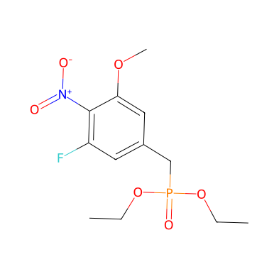 CCOP(=O)(Cc1cc(F)c([N+](=O)[O-])c(OC)c1)OCC